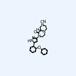 N#CN1CCN2CCN(c3cc(-c4ccccc4Oc4ccccc4)[nH]n3)C(=O)[C@H]2C1